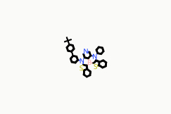 CC(C)(C)c1ccc(-c2cccc(N3c4cncc5c4B(c4sc6ccccc6c4N5c4ccccc4)c4c3sc3ccccc43)c2)cc1